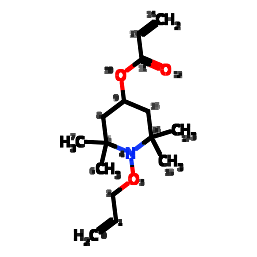 C=CCON1C(C)(C)CC(OC(=O)C=C)CC1(C)C